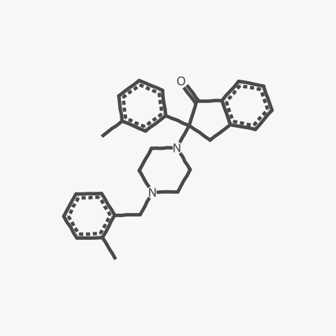 Cc1cccc(C2(N3CCN(Cc4ccccc4C)CC3)Cc3ccccc3C2=O)c1